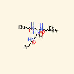 CCCC(CC)CCCCC(=O)NC(CCCCNC(=O)CCCCC(C)CC)C(=O)NC(CCCCNC(=O)CCCCC(C)C)C(=O)C(C)C